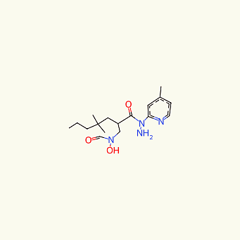 CCCC(C)(C)CC(CN(O)C=O)C(=O)N(N)c1cc(C)ccn1